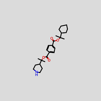 CC(C)(OC(=O)c1ccc(C(=O)OC(C)(C)C2CCNCC2)cc1)C1CCCCC1